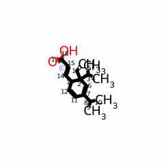 CCC1(C(C)C)C=C(C(C)C)C=CC1/C=C/C(=O)O